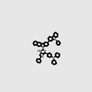 C1=C(c2ccccc2)SC2=C(c3ccc(N(c4ccccc4)c4ccccc4)cc3)N=C(n3c4ccc(-c5ccc6c7ccccc7n(-c7ccccc7)c6c5)cc4c4cc5ccccc5cc43)NC12